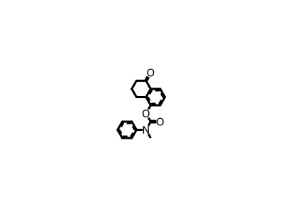 CN(C(=O)Oc1cccc2c1CCCC2=O)c1ccccc1